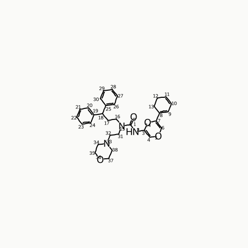 O=C(NC1=COC=C(C2=CC=CCC2)O1)N(CCC(c1ccccc1)c1ccccc1)CCN1CCOCC1